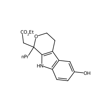 CCCC1(CC(=O)OCC)OCCc2c1[nH]c1ccc(O)cc21